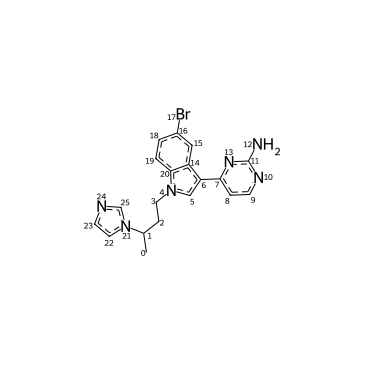 CC(CCn1cc(-c2ccnc(N)n2)c2cc(Br)ccc21)n1ccnc1